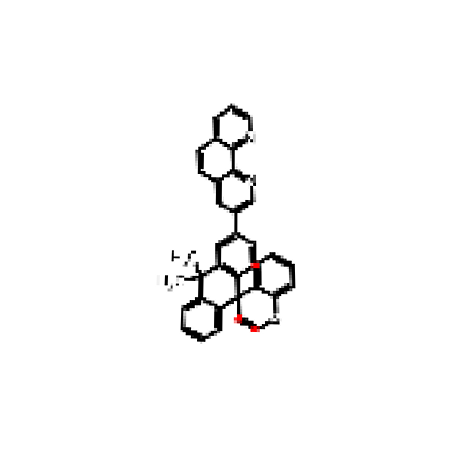 CC1(C)c2ccccc2C2(c3ccccc3Sc3ccccc32)c2ccc(-c3cnc4c(ccc5cccnc54)c3)cc21